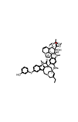 CCC1=C[C@H]2CN(C1)Cc1c([nH]c3ccc(Sc4cccc(O)c4)cc13)[C@@](C(=O)OC)(c1cc3c(cc1OC)N(C)[C@H]1[C@@](O)(C(=O)OC)[C@H](OC(C)=O)[C@]4(CC)C=CCN5CC[C@]31[C@@H]54)C2